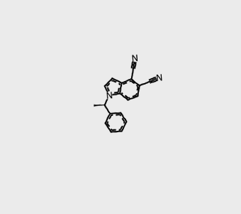 C[C@H](c1ccccc1)n1ccc2c(C#N)c(C#N)ccc21